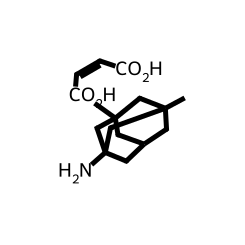 CC12CC3CC(C)(C1)CC(N)(C3)C2.O=C(O)/C=C\C(=O)O